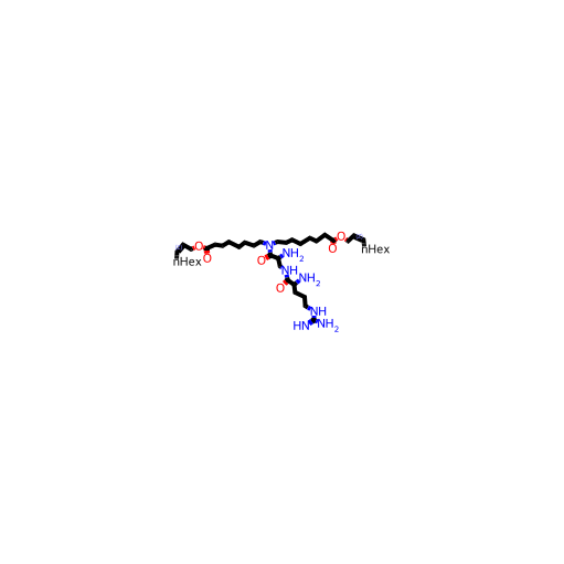 CCCCCC/C=C\COC(=O)CCCCCCCN(CCCCCCCC(=O)OC/C=C\CCCCCC)C(=O)C(N)CNC(=O)C(N)CCCNC(=N)N